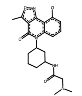 Cc1onc2c1c(=O)n(C1CCCC(NC(=O)CN(C)C)C1)c1cccc(Cl)c21